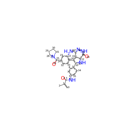 C=C(C)C(=O)Nc1ccc(-c2[nH]c3c(=O)[nH]nc(N)c3c2-c2ccc(C(=O)N3CCCC3)cc2)cc1